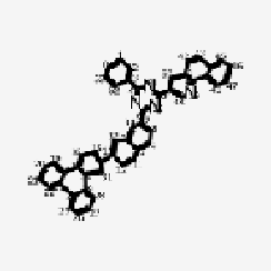 c1ccc(-c2nc(-c3ccc4ccc(-c5ccc6c7ccccc7c7ccccc7c6c5)cc4c3)nc(-c3cnc4c(ccc5ccccc54)c3)n2)cc1